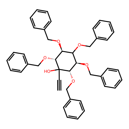 C#CC1(O)[C@H](OCc2ccccc2)[C@@H](OCc2ccccc2)C(OCc2ccccc2)[C@@H](OCc2ccccc2)[C@@H]1OCc1ccccc1